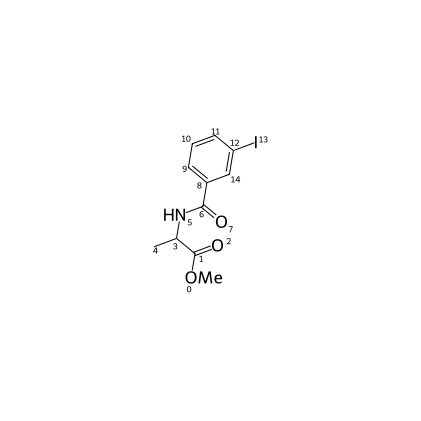 COC(=O)C(C)NC(=O)c1cccc(I)c1